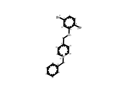 Brc1ccc(Br)c(OCc2cc[n+](Cc3ccccc3)cc2)c1